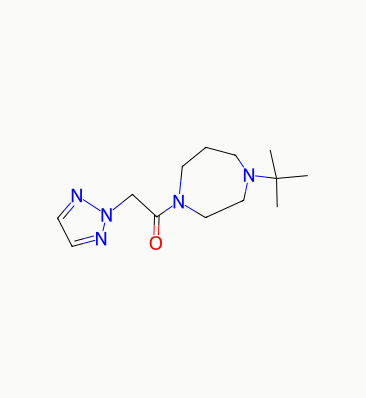 CC(C)(C)N1CCCN(C(=O)Cn2nccn2)CC1